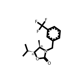 CC(C)[C@H]1OC(=O)N(Cc2cccc(C(F)(F)F)c2)[C@@H]1C